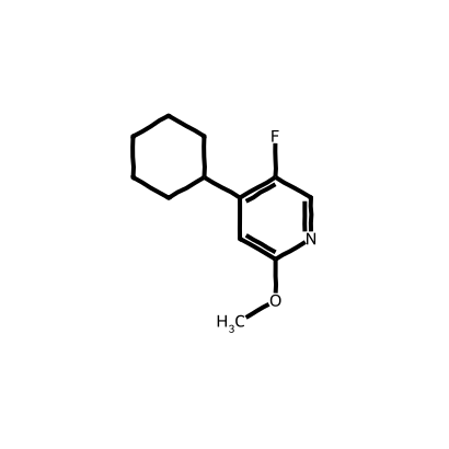 COc1cc(C2CCCCC2)c(F)cn1